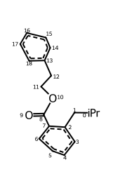 CC(C)Cc1ccccc1C(=O)OCCc1ccccc1